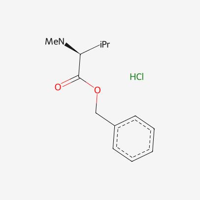 CN[C@H](C(=O)OCc1ccccc1)C(C)C.Cl